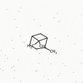 CC1[CH]CC2CC1C2(C)C